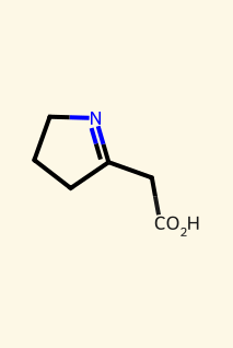 O=C(O)CC1=NCCC1